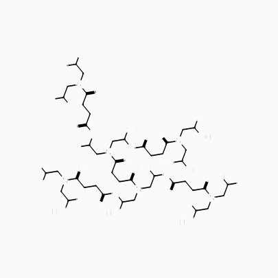 CC(C)CN(CC(C)O)C(=O)CCC(=O)OC(C)CN(CC(C)OC(=O)CCC(=O)N(CC(C)O)CC(C)O)C(=O)CCC(=O)N(CC(C)OC(=O)CCC(=O)N(CC(C)O)CC(C)O)CC(C)OC(=O)CCC(=O)N(CC(C)O)CC(C)O